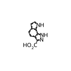 O=C(O)c1n[nH]c2c1ccc1cc[nH]c12